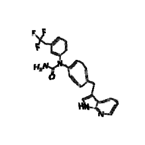 NC(=O)N(c1ccc(Cc2c[nH]c3ncccc23)cc1)c1cccc(C(F)(F)F)c1